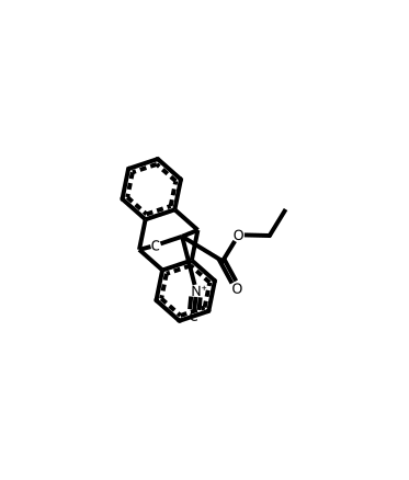 [C-]#[N+]C1(C(=O)OCC)CC2c3ccccc3C1c1ccccc12